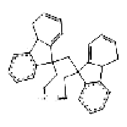 CCOC(=O)CCC1(CC2(CCC(=O)OCC)C3=CC=CCC3c3ccccc32)C2=CC=CCC2c2ccccc21